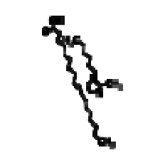 CCCCCCCCC=CCCCCCCCC(=O)O.CCCCCCn1ccnc1C